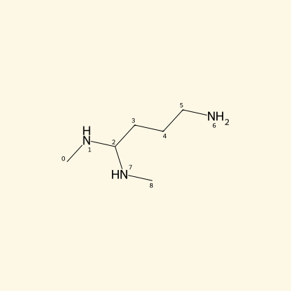 CNC(CCCN)NC